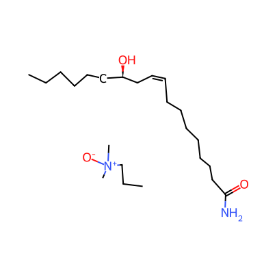 CCCCCC[C@@H](O)C/C=C\CCCCCCCC(N)=O.CCC[N+](C)(C)[O-]